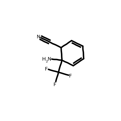 N#CC1C=CC=CC1(N)C(F)(F)F